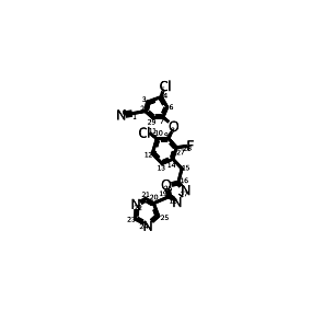 N#Cc1cc(Cl)cc(Oc2c(Cl)ccc(Cc3nnc(-c4cncnc4)o3)c2F)c1